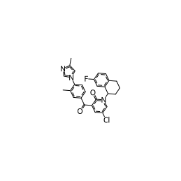 Cc1cn(-c2ccc(C(=O)c3cc(Cl)cn(C4CCCc5ccc(F)cc54)c3=O)cc2C)cn1